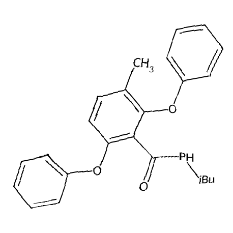 CCC(C)PC(=O)c1c(Oc2ccccc2)ccc(C)c1Oc1ccccc1